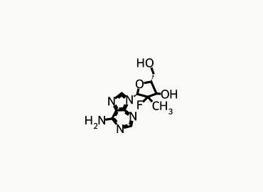 CC1(F)C(O)[C@@H](CO)O[C@H]1n1cnc2c(N)ncnc21